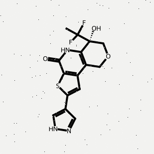 CC(F)(F)[C@@]1(O)COCc2c1[nH]c(=O)c1sc(-c3cn[nH]c3)cc21